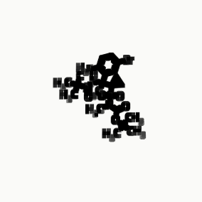 CN(C(=O)OC(C)(C)C)S(=O)(=O)C1(C(C)(N[S@+]([O-])C(C)(C)C)c2cc(Br)ccc2F)CC1